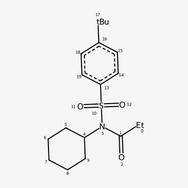 CCC(=O)N(C1CCCCC1)S(=O)(=O)c1ccc(C(C)(C)C)cc1